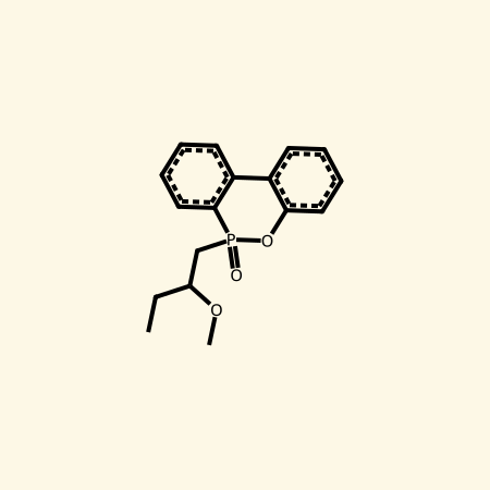 CCC(CP1(=O)Oc2ccccc2-c2ccccc21)OC